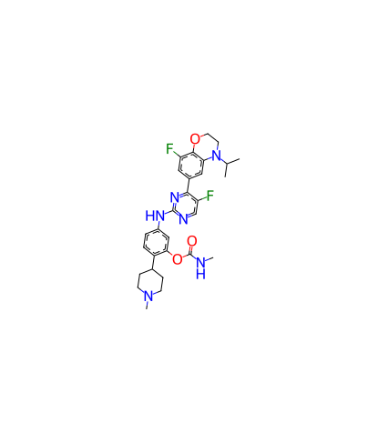 CNC(=O)Oc1cc(Nc2ncc(F)c(-c3cc(F)c4c(c3)N(C(C)C)CCO4)n2)ccc1C1CCN(C)CC1